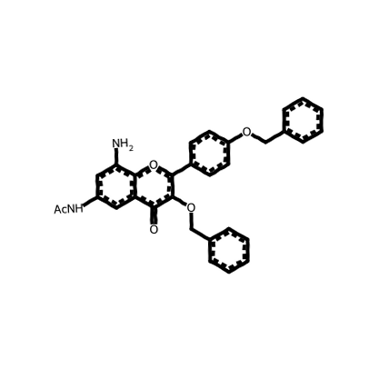 CC(=O)Nc1cc(N)c2oc(-c3ccc(OCc4ccccc4)cc3)c(OCc3ccccc3)c(=O)c2c1